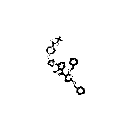 Cn1nc(-c2ccc(OCc3ccccc3)nc2OCc2ccccc2)c2cccc(N3CC[C@H](CN4CCN(C(=O)OC(C)(C)C)CC4)C3)c21